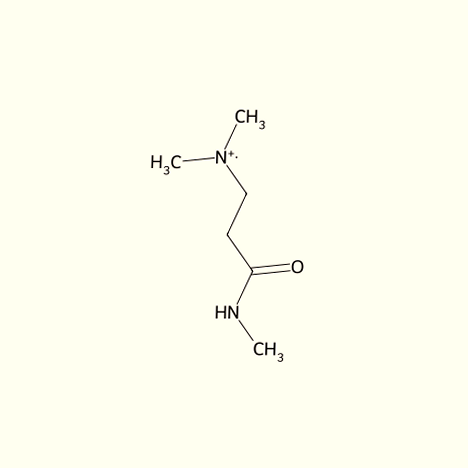 CNC(=O)CC[N+](C)C